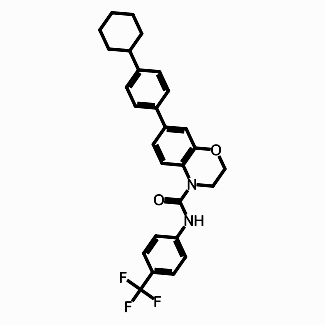 O=C(Nc1ccc(C(F)(F)F)cc1)N1CCOc2cc(-c3ccc(C4CCCCC4)cc3)ccc21